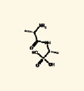 C[C@H](N)C(=O)N[C@H](C)P(=O)(O)O